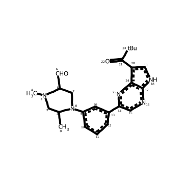 CC1CN(C)C(C=O)CN1c1cccc(-c2cnc3[nH]cc(C(=O)C(C)(C)C)c3n2)c1